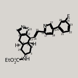 CCOC(=O)N[C@@H]1CC[C@@H]2[C@H](Cc3cnsc3[C@H]2/C=C/c2ccc(-c3cccc(F)c3)cn2)C1